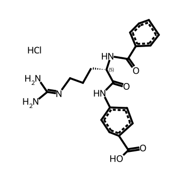 Cl.NC(N)=NCCC[C@H](NC(=O)c1ccccc1)C(=O)Nc1ccc(C(=O)O)cc1